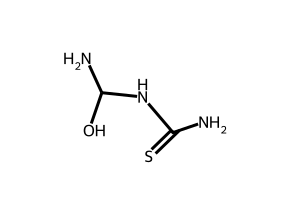 NC(=S)NC(N)O